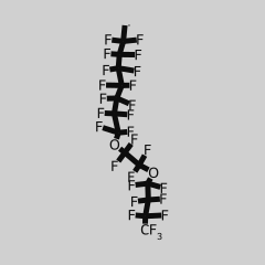 [CH2]C(F)(F)C(F)(F)C(F)(F)C(F)(F)C(F)(F)C(F)(F)C(F)(F)OC(F)(F)C(F)(F)OC(F)(F)C(F)(F)C(F)(F)C(F)(F)F